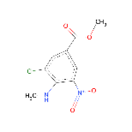 CNc1c(Cl)cc(C(=O)OC)cc1[N+](=O)[O-]